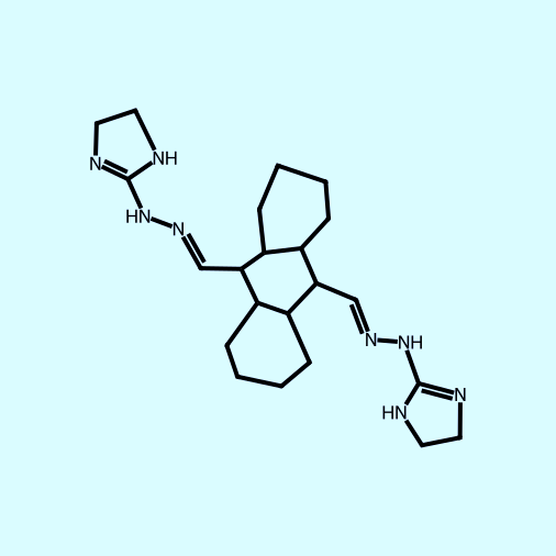 C(=NNC1=NCCN1)C1C2CCCCC2C(C=NNC2=NCCN2)C2CCCCC12